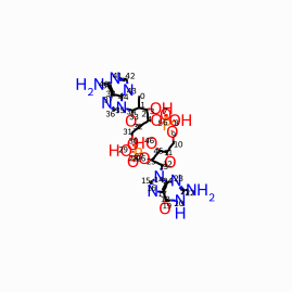 CC1C(O)C2OP(=O)(O)OCC3OC(n4cnc5c(=O)[nH]c(N)nc54)C(OP(=O)(O)OCC2OC1n1cnc2c(N)ncnc21)C3O